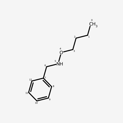 CCCCONCc1ccccc1